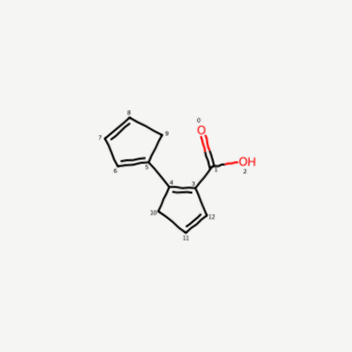 O=C(O)C1=C(C2=CC=CC2)CC=C1